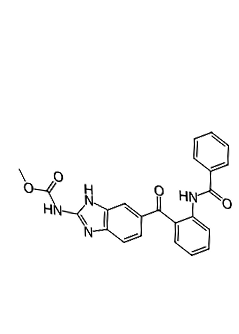 COC(=O)Nc1nc2ccc(C(=O)c3ccccc3NC(=O)c3ccccc3)cc2[nH]1